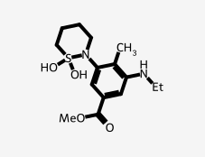 CCNc1cc(C(=O)OC)cc(N2CCCCS2(O)O)c1C